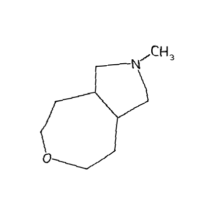 CN1CC2CCOCCC2C1